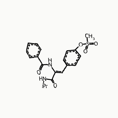 CC(C)NC(=O)C(=Cc1ccc(OS(C)(=O)=O)cc1)NC(=O)c1ccccc1